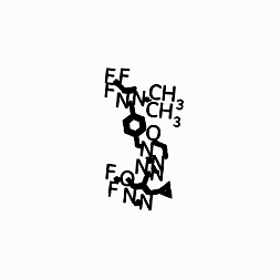 CC(C)n1cc(C(F)(F)F)nc1-c1ccc(CN2C(=O)CCn3nc(-c4c(OC(F)F)ncnc4C4CC4)nc32)cc1